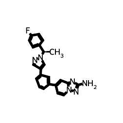 C[C@H](c1ccc(F)cc1)n1cc(-c2cccc(-c3ccn4nc(N)nc4c3)c2)cn1